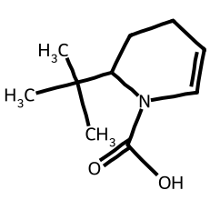 CC(C)(C)C1CCC=CN1C(=O)O